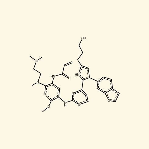 C=CC(=O)Nc1cc(Nc2nccc(-c3[nH]c(CCCO)nc3-c3ccc4ccoc4c3)n2)c(OC)nc1N(C)CCN(C)C